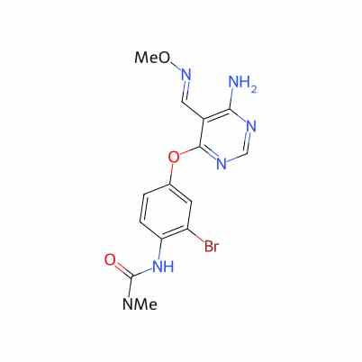 CNC(=O)Nc1ccc(Oc2ncnc(N)c2/C=N/OC)cc1Br